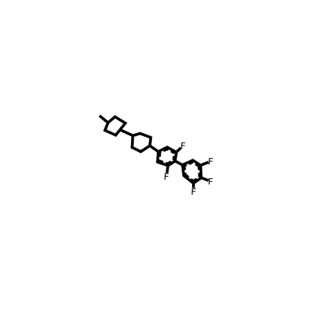 CC1CCC(C2CCC(c3cc(F)c(-c4cc(F)c(F)c(F)c4)c(F)c3)CC2)CC1